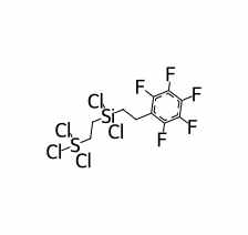 Fc1c(F)c(F)c(CC[Si](Cl)(Cl)CCS(Cl)(Cl)Cl)c(F)c1F